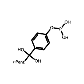 CCCCCC(O)(O)c1ccc(OP(O)O)cc1